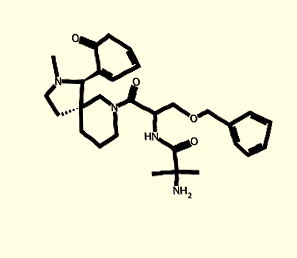 CN1CC[C@]2(CCCN(C(=O)C(COCc3ccccc3)NC(=O)C(C)(C)N)C2)[C@@H]1C1=CC=CCC1=O